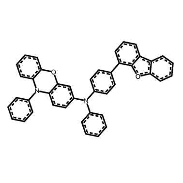 c1ccc(N(c2ccc(-c3cccc4c3oc3ccccc34)cc2)c2ccc3c(c2)Oc2ccccc2N3c2ccccc2)cc1